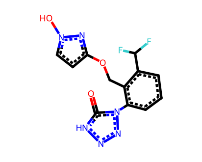 O=c1[nH]nnn1-c1cccc(C(F)F)c1COc1ccn(O)n1